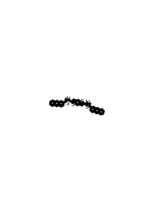 c1ccc2cc3cc(-c4cnc(-c5cc6cc7sc(-c8ncc(-c9ccc%10cc%11ccccc%11cc%10c9)s8)cc7cc6s5)s4)ccc3cc2c1